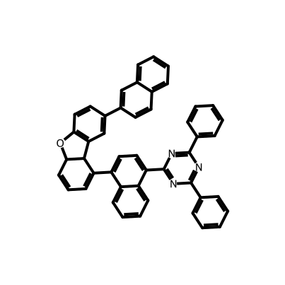 C1=CC2Oc3ccc(-c4ccc5ccccc5c4)cc3C2C(c2ccc(-c3nc(-c4ccccc4)nc(-c4ccccc4)n3)c3ccccc23)=C1